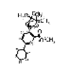 COC(=O)c1nc(C2CCCCC2)ccc1B1OC(C)(C)C(C)(C)O1